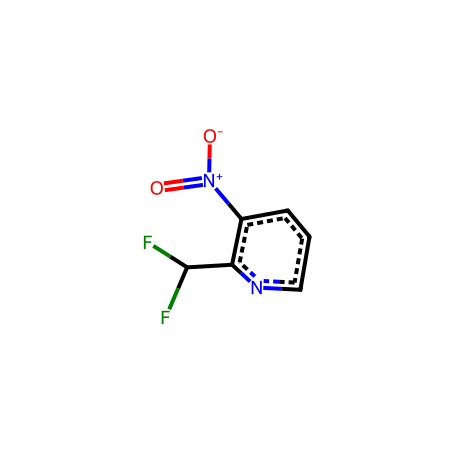 O=[N+]([O-])c1cccnc1C(F)F